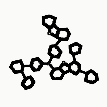 c1ccc(-c2cc(-c3ccccc3)c3oc4c(N(c5ccc(-c6ccccc6-c6ccccc6)cc5)c5ccc(-c6cccc7c6oc6ccccc67)cc5)cccc4c3c2)cc1